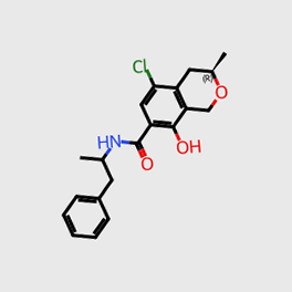 CC(Cc1ccccc1)NC(=O)c1cc(Cl)c2c(c1O)CO[C@H](C)C2